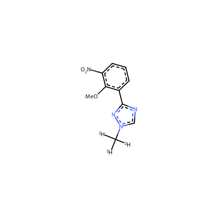 [2H]C([2H])([2H])n1cnc(-c2cccc([N+](=O)[O-])c2OC)n1